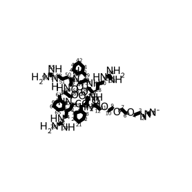 [N-]=[N+]=NCCOCCOCCOCC(=O)N[C@@H](CC1CCCCC1)C(=O)N[C@H](CCCNC(=N)N)C(=O)N[C@@H](CC1CCCCC1)C(=O)N[C@H](CCCNC(=N)N)C(=O)N[C@@H](CC1CCCCC1)C(=O)N[C@H](CCCNC(=N)N)C(=O)O